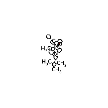 Cc1cc(C)c(-c2ccc3c(c2)c2c(n3-c3cccc4c3C(=O)N(c3ccc(-c5ccccc5)cc3-c3ccccc3)C4=O)CC(C)C=C2)c(C)c1